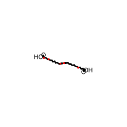 O=C(O)CCCCCCCCCCCC#CC#CCCCCCCCCCCCC(=O)O